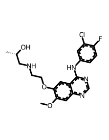 COc1cc2ncnc(Nc3ccc(F)c(Cl)c3)c2cc1OCCNC[C@H](C)O